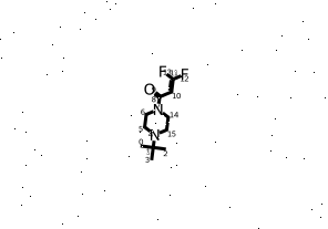 CC(C)(C)N1CCN(C(=O)C=C(F)F)CC1